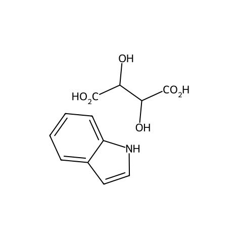 O=C(O)C(O)C(O)C(=O)O.c1ccc2[nH]ccc2c1